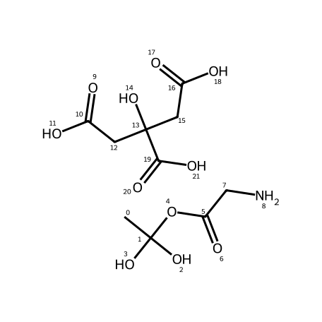 CC(O)(O)OC(=O)CN.O=C(O)CC(O)(CC(=O)O)C(=O)O